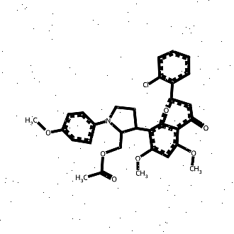 COc1ccc(N2CCC(c3c(OC)cc(OC)c4c(=O)cc(-c5ccccc5Cl)oc34)C2COC(C)=O)cc1